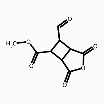 COC(=O)C1C(C=O)C2C(=O)OC(=O)C12